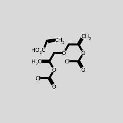 C=C(COCC(=C)OC(=O)Cl)OC(=O)Cl.C=CC(=O)O